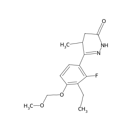 CCc1c(OCOC)ccc(C2=NNC(=O)CC2C)c1F